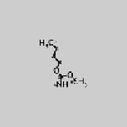 CCCCOC([NH])OC